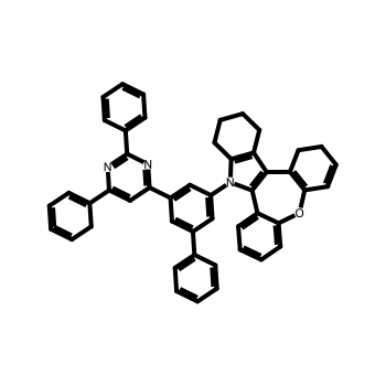 C1=CC=C(c2cc(-c3cc(-c4ccccc4)cc(-n4c5c(c6c4-c4ccccc4OC4=C6CCC=C4)CCCC5)c3)nc(-c3ccccc3)n2)CC=1